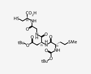 CSCC[C@H](NC(=O)OC(C)(C)C)C(=O)N[C@@H](CC(=O)OC(C)(C)C)C(=O)NCC(=O)N[C@@H](CS)C(=O)O